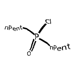 CCCCCP(=O)(Cl)CCCCC